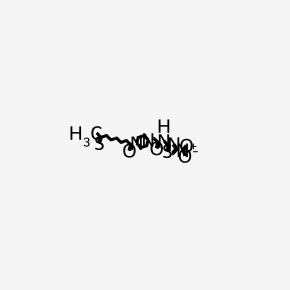 CC(=S)CCCCCC(=O)N1CCN(CC(=O)Nc2nc([N+](=O)[O-])cs2)CC1